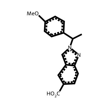 COc1ccc(C(C)n2cc3cc(C(=O)O)ccc3n2)cc1